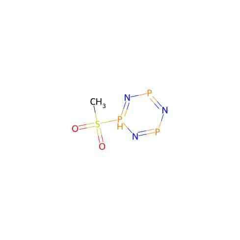 CS(=O)(=O)[PH]1=NP=NP=N1